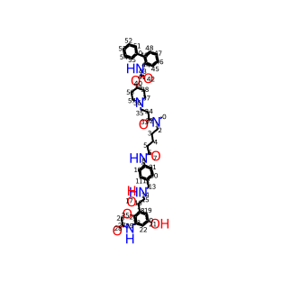 CN(CCCCC(=O)Nc1ccc(CNC[C@H](O)c2cc(O)cc3c2OCC(=O)N3)cc1)C(=O)CCN1CCC(OC(=O)Nc2ccccc2-c2ccccc2)CC1